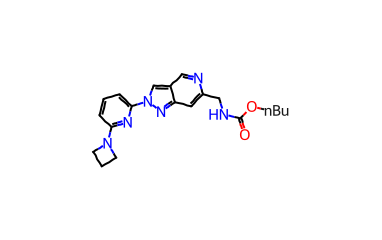 CCCCOC(=O)NCc1cc2nn(-c3cccc(N4CCC4)n3)cc2cn1